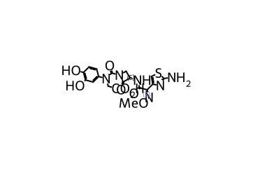 CO/N=C(\C(=O)N[C@H]1CN(C(=O)N(CC(=O)O)c2ccc(O)c(O)c2)C1=O)c1csc(N)n1